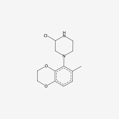 Cc1ccc2c(c1N1CCNC(Cl)C1)OCCO2